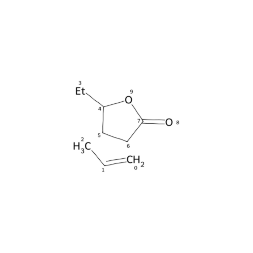 C=CC.CCC1CCC(=O)O1